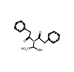 CCCCC(C(=O)O)N(C(=O)Cc1ccccc1)C(=O)Cc1ccccc1